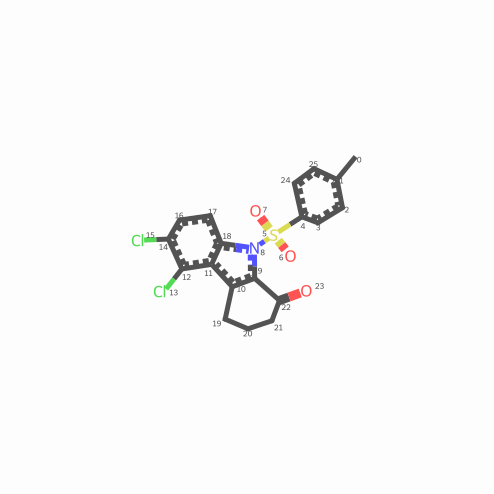 Cc1ccc(S(=O)(=O)n2c3c(c4c(Cl)c(Cl)ccc42)CCCC3=O)cc1